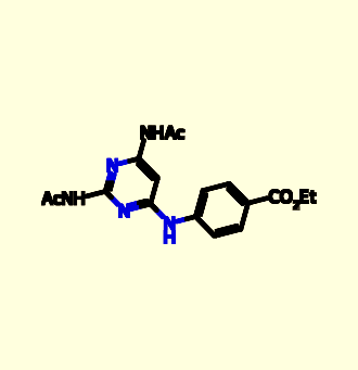 CCOC(=O)c1ccc(Nc2cc(NC(C)=O)nc(NC(C)=O)n2)cc1